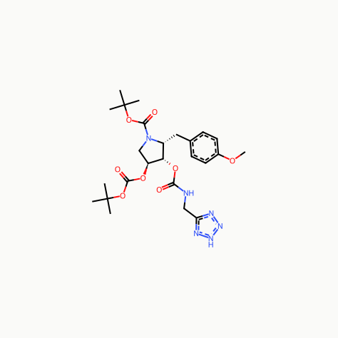 COc1ccc(C[C@@H]2[C@H](OC(=O)NCc3nn[nH]n3)[C@@H](OC(=O)OC(C)(C)C)CN2C(=O)OC(C)(C)C)cc1